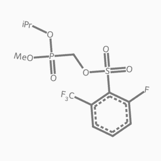 COP(=O)(COS(=O)(=O)c1c(F)cccc1C(F)(F)F)OC(C)C